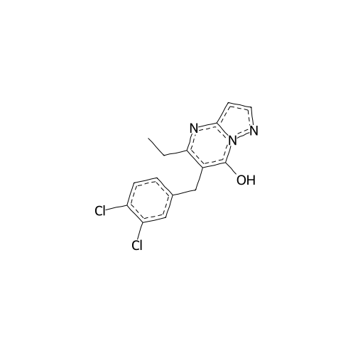 CCc1nc2ccnn2c(O)c1Cc1ccc(Cl)c(Cl)c1